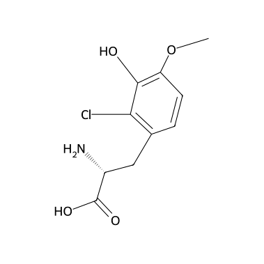 COc1ccc(C[C@@H](N)C(=O)O)c(Cl)c1O